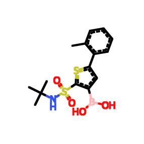 Cc1ccccc1-c1cc(B(O)O)c(S(=O)(=O)NC(C)(C)C)s1